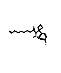 C=CCCCCCCC(=O)C(N(C)C)C1(c2ccc(Cl)cc2)CCC1